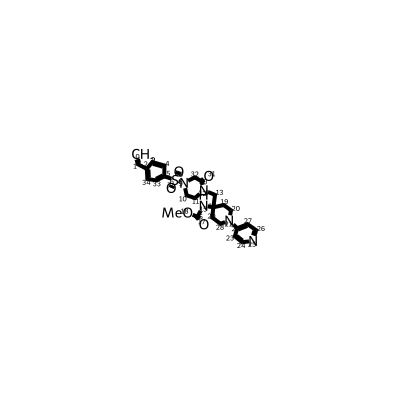 C=Cc1ccc(S(=O)(=O)N2CCN(CC3(NC(=O)OC)CCN(c4ccncc4)CC3)C(=O)C2)cc1